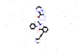 Cc1ncsc1C#Cc1cccc2nc(C(C)NC(=O)c3c(N)nn4cccnc34)n(-c3ccccc3)c(=O)c12